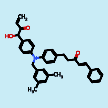 C=CC(=O)C(O)c1ccc(N(Cc2cc(C)cc(C)c2)c2ccc(CCC(=O)C=Cc3ccccc3)cc2)cc1